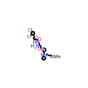 COCCCn1c(C2CCCN(C(=O)CC(N)CNC(=O)c3ccc(-c4ccc(Cl)cc4Cl)o3)C2)nc2ccccc21